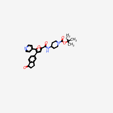 CC(C)(C)OC(=O)N1CCC(NC(=O)c2cc(-c3ccc4c(c3)CCC4=O)c(-c3ccncc3)o2)CC1